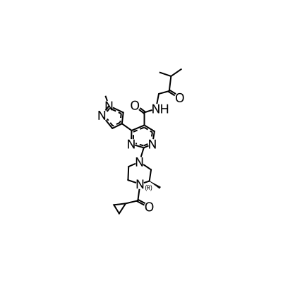 CC(C)C(=O)CNC(=O)c1cnc(N2CCN(C(=O)C3CC3)[C@H](C)C2)nc1-c1cnn(C)c1